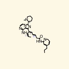 C\C=C/C(=C\C=C\CC(=O)NC1=NCC=CC(CCC)=C1)c1nc([C@@H]2CCCCN2C)n2ccnc(N)c12